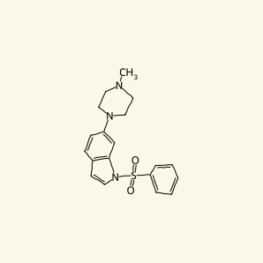 CN1CCN(c2ccc3ccn(S(=O)(=O)c4ccccc4)c3c2)CC1